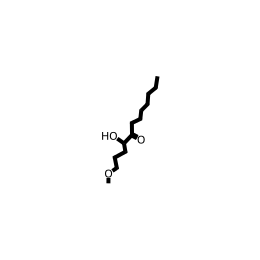 CCCCCCCC(=O)C(O)CCCOC